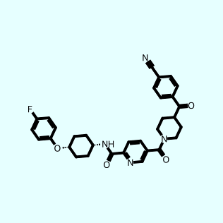 N#Cc1ccc(C(=O)C2CCN(C(=O)c3ccc(C(=O)N[C@H]4CC[C@@H](Oc5ccc(F)cc5)CC4)nc3)CC2)cc1